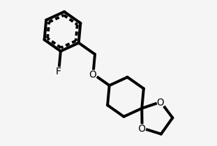 Fc1ccccc1COC1CCC2(CC1)OCCO2